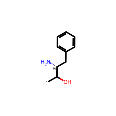 [CH2]C(O)[C@H](N)Cc1ccccc1